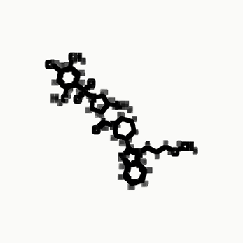 COCCCn1c([C@@H]2CCCN(C(=O)[C@@H]3CN(S(=O)(=O)c4cc(C)c(Cl)cc4C)C[C@H]3N)C2)nc2ccccc21